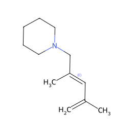 C=C(C)/C=C(\C)CN1CCCCC1